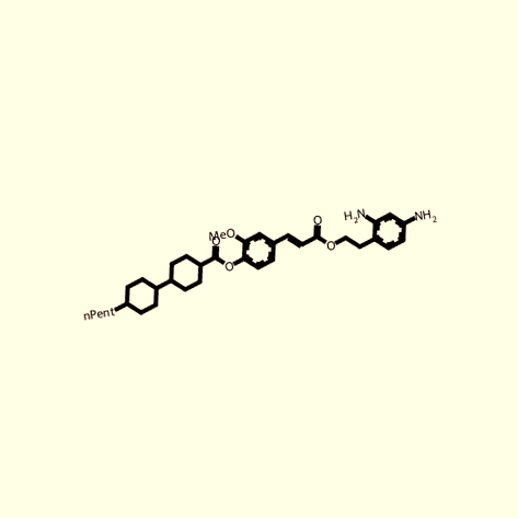 CCCCCC1CCC(C2CCC(C(=O)Oc3ccc(/C=C/C(=O)OCCc4ccc(N)cc4N)cc3OC)CC2)CC1